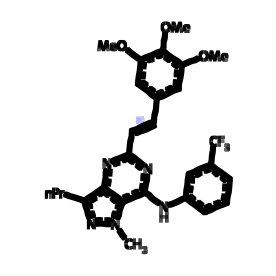 CCCc1nn(C)c2c(Nc3cccc(C(F)(F)F)c3)nc(/C=C/c3cc(OC)c(OC)c(OC)c3)nc12